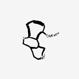 COc1cccc2c1C1CNCC1CO2